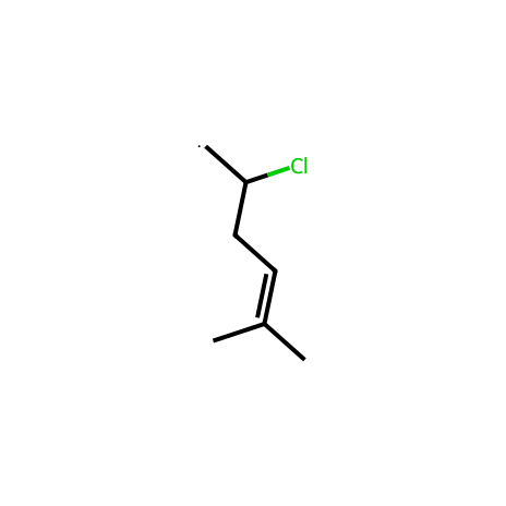 [CH2]C(Cl)CC=C(C)C